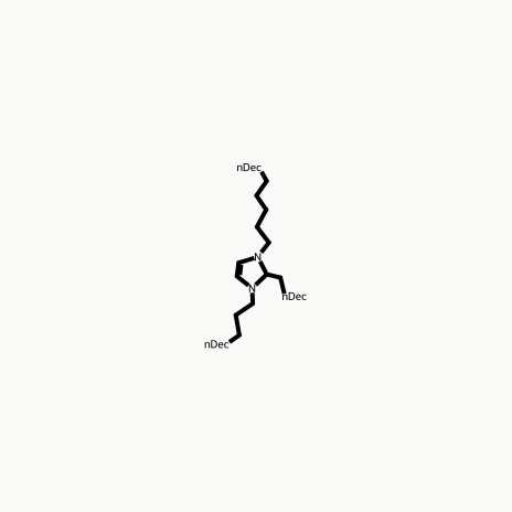 CCCCCCCCCCCCCCCN1C=CN(CCCCCCCCCCCCC)C1CCCCCCCCCCC